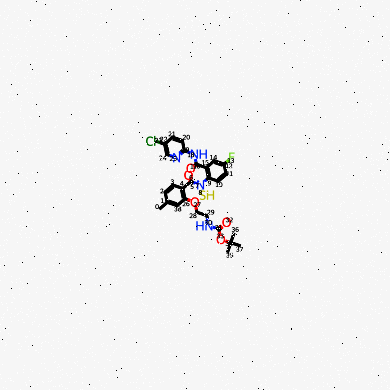 Cc1ccc(C(=O)N(S)c2ccc(F)cc2C(=O)Nc2ccc(Cl)cn2)c(OCCNC(=O)OC(C)(C)C)c1